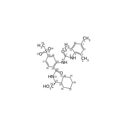 Cc1cc(C)c(NC(=O)Nc2cc(S(C)(=O)=O)ccc2C(=O)N[C@H](C(=O)O)C2CCCCC2)c(C)c1